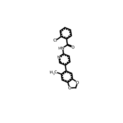 Cc1cc2c(cc1-c1ccc(NC(=O)c3ccccc3Cl)nc1)OCO2